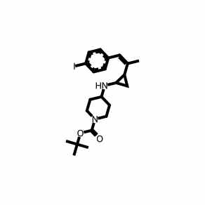 CC(=Cc1ccc(I)cc1)C1CC1NC1CCN(C(=O)OC(C)(C)C)CC1